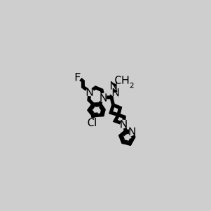 C=N/N=C(/C1CC2(C1)CN(c1ccccn1)C2)N1CCN(CCF)Cc2cc(Cl)ccc21